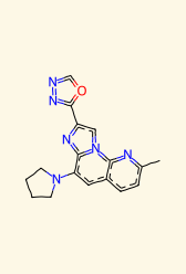 Cc1ccc2cc(N3CCCC3)c3nc(-c4nnco4)cn3c2n1